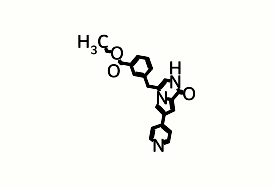 CCOC(=O)c1cccc(Cc2c[nH]c(=O)c3cc(-c4ccncc4)cn23)c1